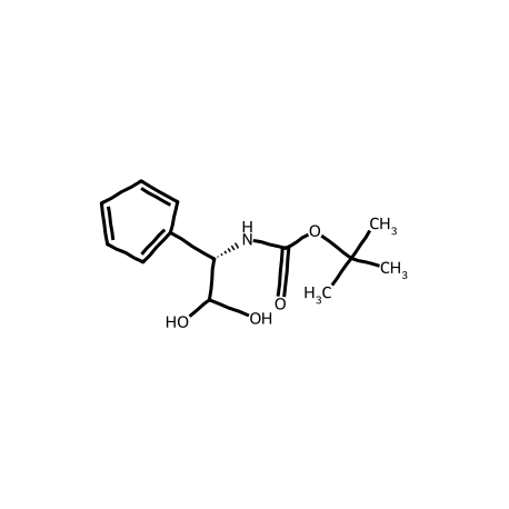 CC(C)(C)OC(=O)N[C@@H](c1ccccc1)C(O)O